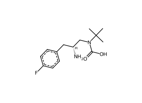 CC(C)(C)N(C[C@H](N)Cc1ccc(F)cc1)C(=O)O